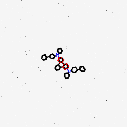 C1=C(c2ccccc2)CCC(N(c2ccccc2)c2ccc(-c3ccccc3-c3ccccc3-c3ccccc3-c3ccc(N(c4ccccc4)c4ccc(-c5ccccc5)cc4)cc3)cc2)=C1